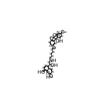 COc1ccc(C(O)(C(=O)O)c2cccc(OCCCCCNC[C@H](O)c3ccc(O)c4[nH]c(=O)ccc34)c2)cc1